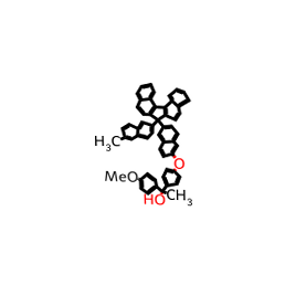 COc1ccc(C(C)(O)c2ccc(Oc3ccc4cc(C5(c6ccc7cc(C)ccc7c6)c6ccc7ccccc7c6-c6c5ccc5ccccc65)ccc4c3)cc2)cc1